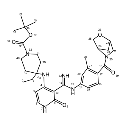 CCC1(Nc2cc[nH]c(=O)c2C(=N)Nc2ccc(C(=O)N3CC4CC3CO4)c(C)c2)CCN(C(=O)OC(C)(C)C)CC1